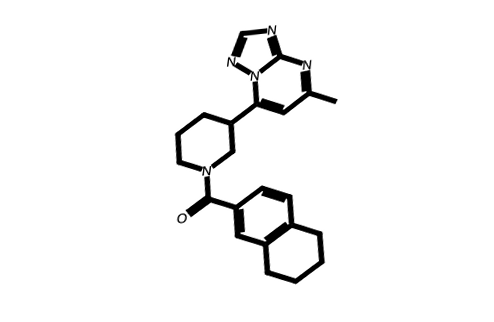 Cc1cc(C2CCCN(C(=O)c3ccc4c(c3)CCCC4)C2)n2ncnc2n1